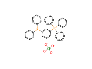 [O-][Cl+3]([O-])([O-])[O-].c1ccc(P(c2ccccc2)c2cccc([P+](c3ccccc3)(c3ccccc3)c3ccccc3)c2)cc1